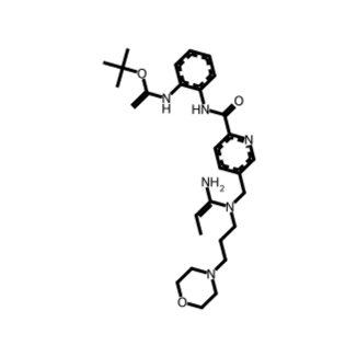 C=C(Nc1ccccc1NC(=O)c1ccc(CN(CCCN2CCOCC2)/C(N)=C\C)cn1)OC(C)(C)C